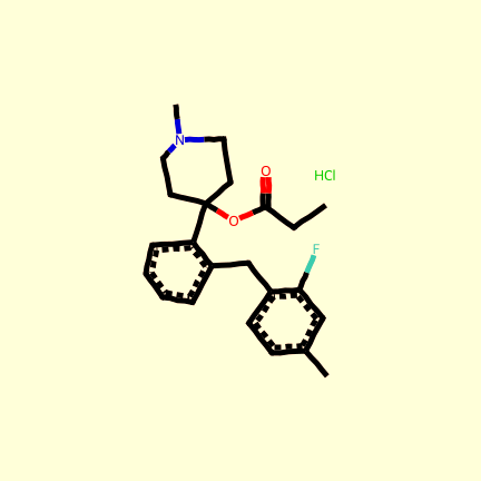 CCC(=O)OC1(c2ccccc2Cc2ccc(C)cc2F)CCN(C)CC1.Cl